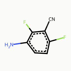 N#Cc1c(F)ccc(N)c1F